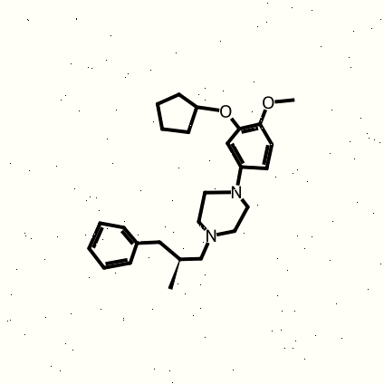 COc1ccc(N2CCN(C[C@@H](C)Cc3ccccc3)CC2)cc1OC1CCCC1